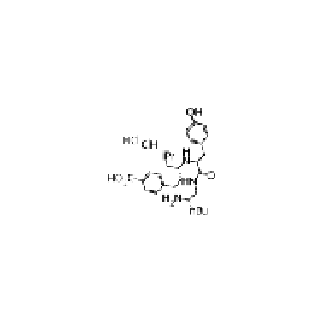 CCCC[C@H](N)CNC(=O)[C@H](Cc1ccc(O)cc1)N[C@H](CCc1ccc(C(=O)O)cc1)CC(C)C.Cl.Cl